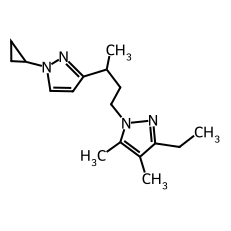 CCc1nn(CCC(C)c2ccn(C3CC3)n2)c(C)c1C